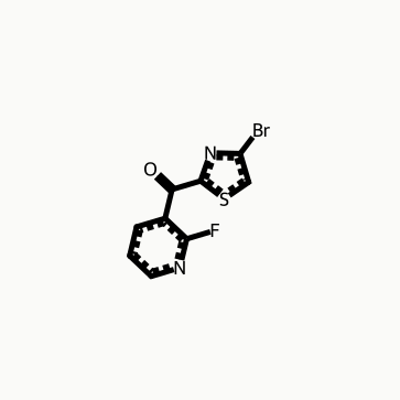 O=C(c1nc(Br)cs1)c1cccnc1F